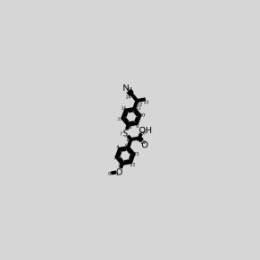 COc1ccc(C(Sc2ccc(C(C)C#N)cc2)C(=O)O)cc1